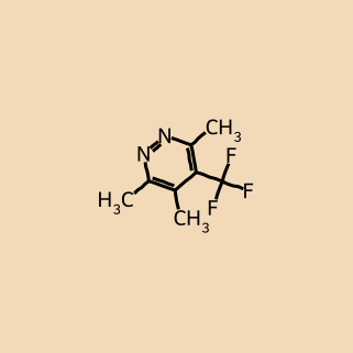 Cc1nnc(C)c(C(F)(F)F)c1C